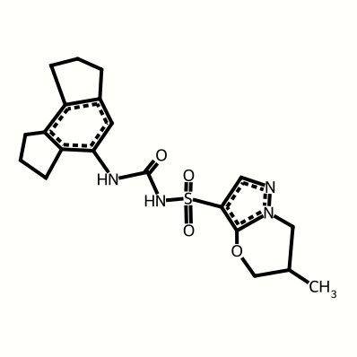 CC1COc2c(S(=O)(=O)NC(=O)Nc3cc4c(c5c3CCC5)CCC4)cnn2C1